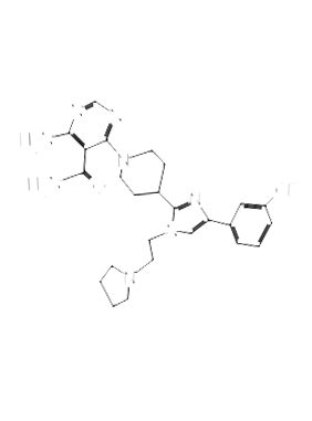 NC(=O)c1c(N)ncnc1N1CCC(c2nc(-c3cccc(C(F)(F)F)c3)cn2CCN2CCCC2)CC1